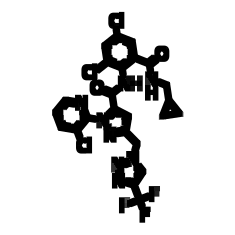 O=C(NCC1CC1)c1cc(Cl)cc(Cl)c1NC(=O)c1cc(Cn2cc(C(F)(F)F)nn2)nn1-c1ncccc1Cl